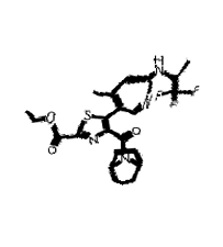 CCOC(=O)c1nc(C(=O)N2C3CCC2CC3)c(-c2cnc(N[C@@H](C)C(F)(F)F)cc2C)s1